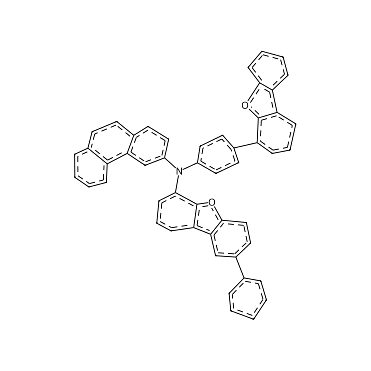 c1ccc(-c2ccc3oc4c(N(c5ccc(-c6cccc7c6oc6ccccc67)cc5)c5ccc6ccc7ccccc7c6c5)cccc4c3c2)cc1